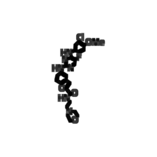 COc1ccc(Nc2nc(Nc3ccc4oc(C(=O)NCCN5CCOCC5)cc4c3)ncc2F)cc1Cl